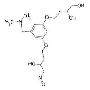 CN(C)Cc1cc(OCCC(O)CO)cc(OCCC(O)CN=O)c1